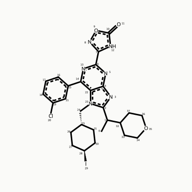 CC(c1nc2nc(-c3noc(=O)[nH]3)nc(-c3cccc(Cl)c3)c2n1C[C@H]1CC[C@H](I)CC1)C1CCOCC1